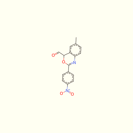 Cc1ccc2c(c1)C(C=O)OC(c1ccc([N+](=O)[O-])cc1)=N2